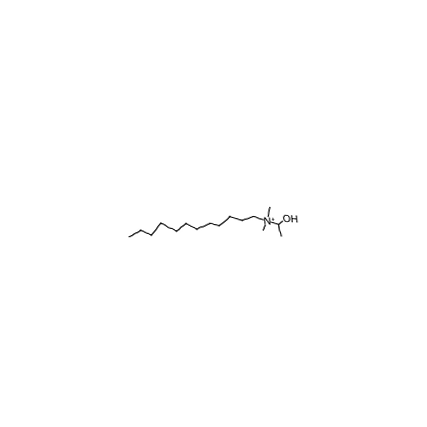 CCCCCCCCCCCC[N+](C)(C)C(C)O